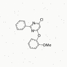 COc1ccccc1Oc1cc(Cl)nc(-c2ccccc2)n1